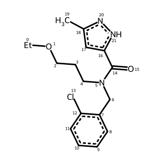 CCOCCCN(Cc1ccccc1Cl)C(=O)c1cc(C)n[nH]1